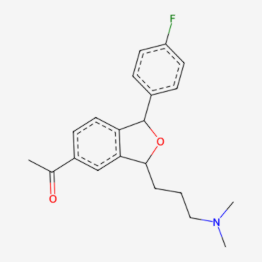 CC(=O)c1ccc2c(c1)C(CCCN(C)C)OC2c1ccc(F)cc1